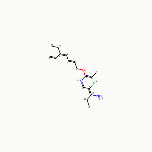 C=C/C(=C\C=C\COC(=C\C)/N=C\C(F)=C(\N)CC)CC